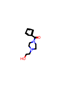 O=C(c1ccccc1)N1CCN(CCO)CC1